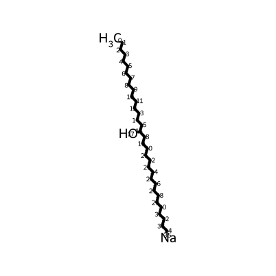 CCCCCCCCCCCCCCCCC(O)CCCCCCCCCCCCCCCC[CH2][Na]